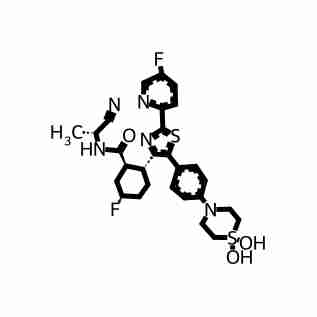 C[C@H](C#N)NC(=O)[C@@H]1C[C@@H](F)CC[C@H]1c1nc(-c2ccc(F)cn2)sc1-c1ccc(N2CCS(O)(O)CC2)cc1